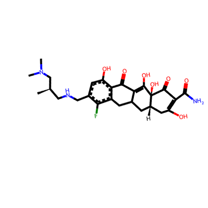 C[C@H](CNCc1cc(O)c2c(c1F)CC1C[C@H]3CC(O)=C(C(N)=O)C(=O)[C@@]3(O)C(O)=C1C2=O)CN(C)C